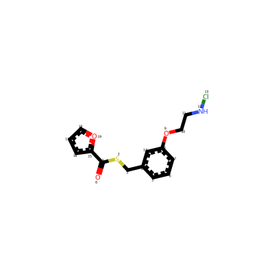 O=C(SCc1cccc(OCCNCl)c1)c1ccco1